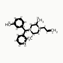 C=CCN1C[C@H](C)N(C(c2cccnc2)c2cccc(O)c2)CC1C